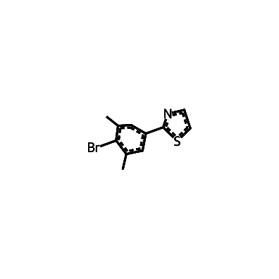 Cc1cc(-c2nccs2)cc(C)c1Br